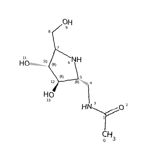 CC(=O)NC[C@H]1NC(CO)[C@@H](O)[C@@H]1O